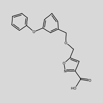 O=C(O)c1cc(COCc2cccc(Oc3ccccc3)c2)on1